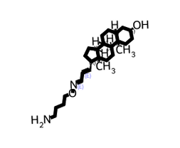 C[C@]12CC[C@H](O)C[C@H]1CC[C@@H]1[C@@H]2CC[C@]2(C)[C@@H](/C=C/C=N/OCCCCN)CC[C@@H]12